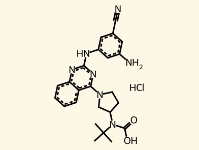 CC(C)(C)N(C(=O)O)C1CCN(c2nc(Nc3cc(N)cc(C#N)c3)nc3ccccc23)C1.Cl